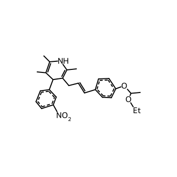 CCOC(C)Oc1ccc(C=CCC2=C(C)NC(C)=C(C)C2c2cccc([N+](=O)[O-])c2)cc1